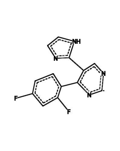 Fc1ccc(-c2n[c]ncc2-c2ncc[nH]2)c(F)c1